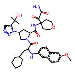 COc1ccc2cc(NC(CC3CCCCC3)C(=O)N3C[C@@H](n4nncc4C(C)(C)O)C[C@H]3C(=O)NC3(C(=O)C(N)=O)CCOCC3)ccc2c1